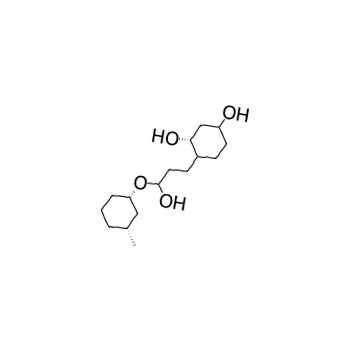 C[C@@H]1CCC[C@H](OC(O)CCC2CCC(O)C[C@H]2O)C1